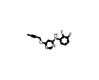 CC#CCOc1cc(Nc2cccc(F)c2F)ncn1